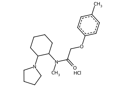 Cc1ccc(OCC(=O)N(C)C2CCCCC2N2CCCC2)cc1.Cl